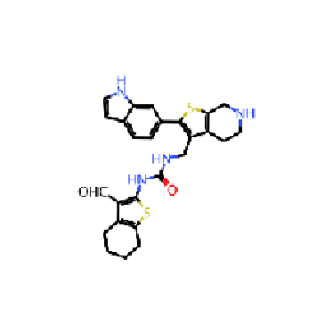 O=Cc1c(NC(=O)NCc2c(-c3ccc4cc[nH]c4c3)sc3c2CCNC3)sc2c1CCCC2